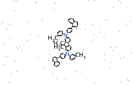 Cc1cccc(N(c2ccc(-c3cccc4ccccc34)cc2)c2ccc3c(c2)C(C)(C)c2cc(N(c4ccc(-c5cccc6ccccc56)cc4)c4cccc(C)c4)ccc2-3)c1